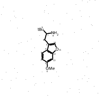 COc1ccc2c(CC(N)C(C)(C)C)coc2c1